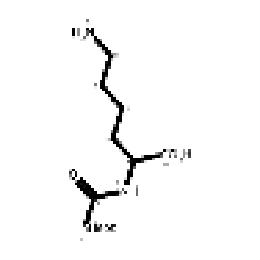 CCCCCCCC(=O)NC(CCCCN)C(=O)O